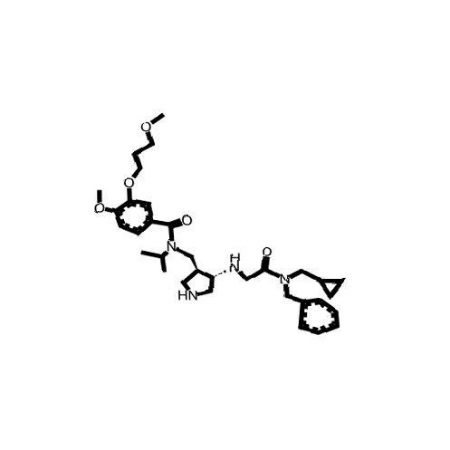 COCCCOc1cc(C(=O)N(C[C@@H]2CNC[C@H]2NCC(=O)N(Cc2ccccc2)CC2CC2)C(C)C)ccc1OC